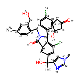 CCC(O)(c1cc(F)c2c(c1)C(=O)N(Cc1ccc(C#N)cc1CO)[C@@]2(O[C@H]1CCC(=O)C1)c1ccc(Cl)cc1)c1cn(C)cn1